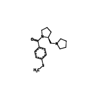 CSc1ccc(C(=O)N2CCC[C@H]2CN2CCCC2)cc1